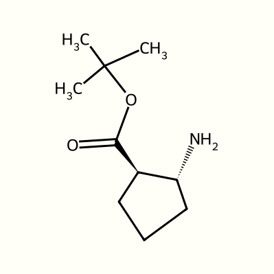 CC(C)(C)OC(=O)[C@@H]1CCC[C@H]1N